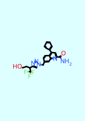 NC(=O)c1cc(-c2ccccc2)c2ccc(Cn3cc(C(CCO)C(F)(F)F)nn3)cc2n1